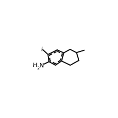 CC1CCc2cc(N)c(I)cc2C1